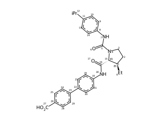 CC[C@@H]1CCN(C(=O)Nc2ccc(C(C)C)cc2)[C@H]1C(=O)Nc1ccc(-c2ccc(C(=O)O)cc2)cc1